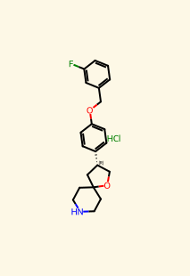 Cl.Fc1cccc(COc2ccc([C@@H]3COC4(CCNCC4)C3)cc2)c1